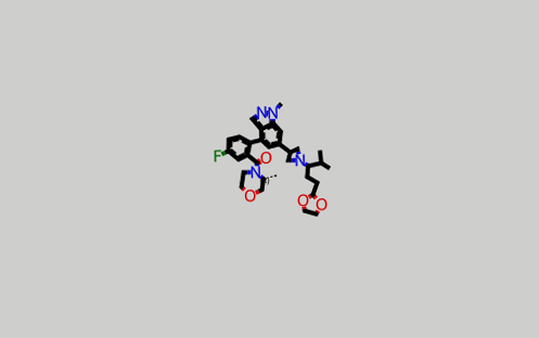 CC(C)C(CCC1OCCO1)N1CC(c2cc(-c3ccc(F)cc3C(=O)N3CCOC[C@H]3C)c3cnn(C)c3c2)C1